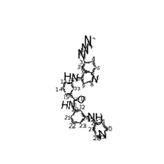 [N-]=[N+]=Nc1ccc2nccc(Nc3cccc(C(=O)Nc4cccc(Nc5ccncc5)c4)c3)c2c1